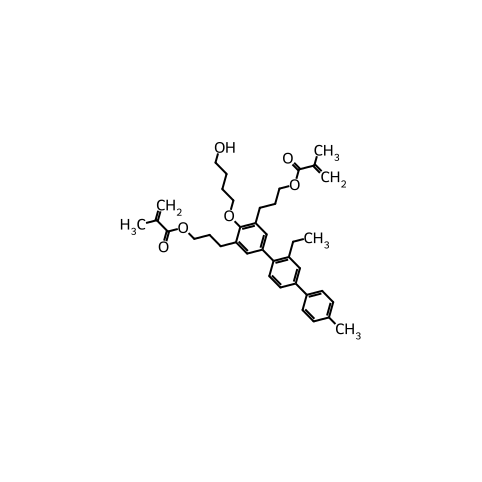 C=C(C)C(=O)OCCCc1cc(-c2ccc(-c3ccc(C)cc3)cc2CC)cc(CCCOC(=O)C(=C)C)c1OCCCCO